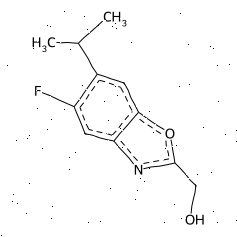 CC(C)c1cc2oc(CO)nc2cc1F